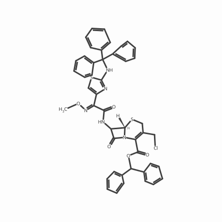 CON=C(C(=O)NC1C(=O)N2C(C(=O)OC(c3ccccc3)c3ccccc3)=C(CCl)CS[C@@H]12)c1csc(NC(c2ccccc2)(c2ccccc2)c2ccccc2)n1